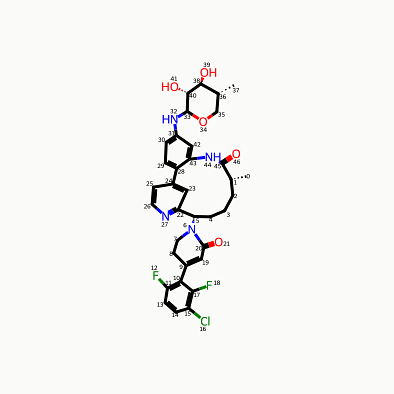 C[C@@H]1CCC[C@H](N2CCC(c3c(F)ccc(Cl)c3F)=CC2=O)c2cc(ccn2)-c2ccc(NC3OC[C@@H](C)[C@H](O)[C@H]3O)cc2NC1=O